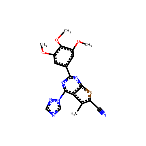 COc1cc(-c2nc(-n3cncn3)c3c(C)c(C#N)sc3n2)cc(OC)c1OC